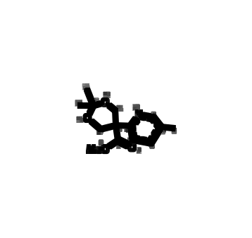 COC(=O)C1(c2ccc(C)cn2)COC(C)(C)OC1